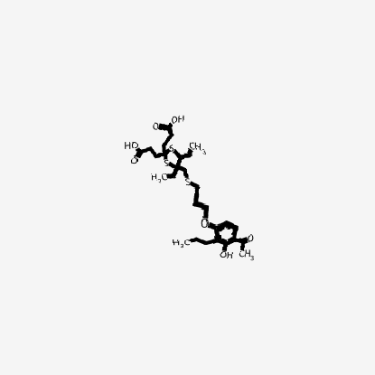 CCCc1c(OCCCSCC2(CC)SC(CCC(=O)O)(CCC(=O)O)SC2CC)ccc(C(C)=O)c1O